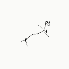 CP(C)CC[PH](C)(C)[Pd]